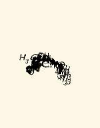 Cc1cc2c(cnn2C2CCCCO2)c(-c2c(Br)nc(C3CC4(C3)CN(C(=O)OC(C)(C)C)C4)n2C)c1C